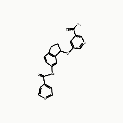 NC(=O)c1cncc(OC2CCc3ccc(NC(=O)c4ccncc4)cc32)c1